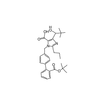 CCCc1nc(C(O)C(C)(C)C)c(C(=O)O)n1Cc1ccc(-c2ccccc2C(=O)OC(C)(C)C)cc1